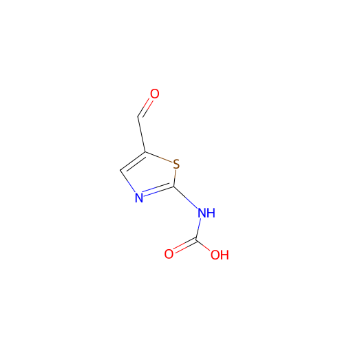 O=Cc1cnc(NC(=O)O)s1